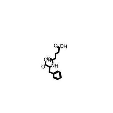 O=C(O)CCCC(=O)NC(Cc1ccccc1)C(=O)O